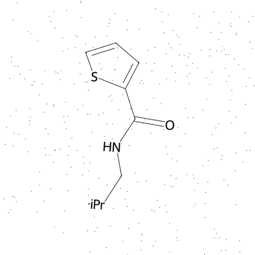 C[C](C)CNC(=O)c1cccs1